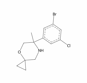 CC1(c2cc(Cl)cc(Br)c2)COC2(CC2)CN1